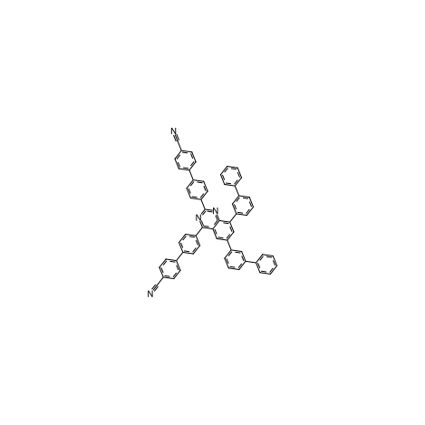 N#Cc1ccc(-c2ccc(-c3nc(-c4ccc(-c5ccc(C#N)cc5)cc4)c4cc(-c5cccc(-c6ccccc6)c5)cc(-c5cccc(-c6ccccc6)c5)c4n3)cc2)cc1